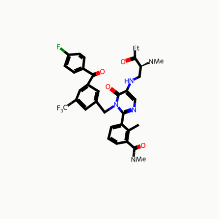 CCC(=O)[C@H](CNc1cnc(-c2cccc(C(=O)NC)c2C)n(Cc2cc(C(=O)c3ccc(F)cc3)cc(C(F)(F)F)c2)c1=O)NC